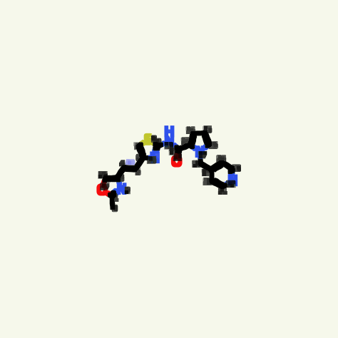 Cc1nc(/C=C/c2csc(NC(=O)c3cccn3Cc3ccncc3)n2)co1